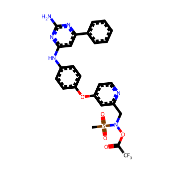 CS(=O)(=O)N(Cc1cc(Oc2ccc(Nc3cc(-c4ccccc4)nc(N)n3)cc2)ccn1)OC(=O)C(F)(F)F